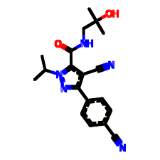 CC(C)n1nc(-c2ccc(C#N)cc2)c(C#N)c1C(=O)NCC(C)(C)O